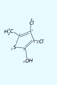 [CH2]c1sc(O)c(Cl)c1Cl